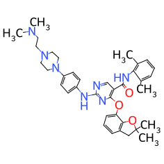 Cc1cccc(C)c1NC(=O)c1cnc(Nc2ccc(N3CCN(CCN(C)C)CC3)cc2)nc1Oc1cccc2c1OC(C)(C)C2